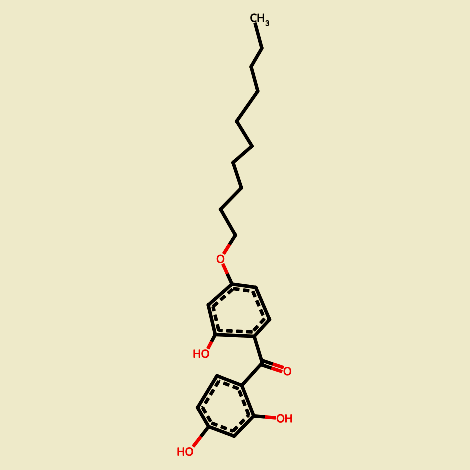 CCCCCCCCCCOc1ccc(C(=O)c2ccc(O)cc2O)c(O)c1